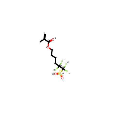 C=C(C)C(=O)OCCCCC(F)(F)C(F)(F)[SH](=O)=O